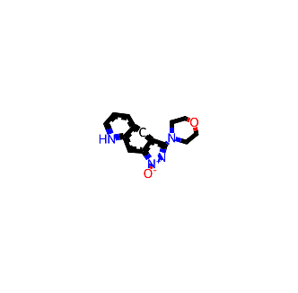 [O-][n+]1nc(N2CCOCC2)c2cc3ccc[nH]c3cc21